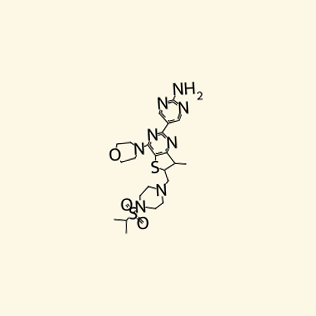 CC1c2nc(-c3cnc(N)nc3)nc(N3CCOCC3)c2SC1CN1CCN(S(=O)(=O)C(C)C)CC1